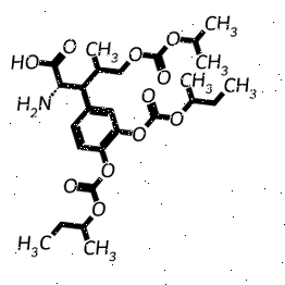 CCC(C)OC(=O)Oc1ccc(C(C(C)COC(=O)OC(C)C)[C@H](N)C(=O)O)cc1OC(=O)OC(C)CC